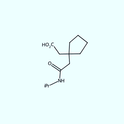 CC(C)NC(=O)CC1(CC(=O)O)CCCC1